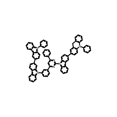 c1ccc(-c2cc(-c3cccc(-n4c5ccccc5c5ccc(-c6ccc7c(c6)c6ccccc6n7-c6ccccc6)cc54)c3)nc(-n3c4ccccc4c4cc(-c5ccc6c(c5)Cc5ccccc5N6c5ccccc5)ccc43)n2)cc1